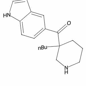 CCCCC1(C(=O)c2ccc3[nH]ccc3c2)CCCNC1